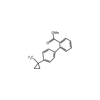 COC(=O)c1ccccc1-c1ccc(C2(C(F)(F)F)CC2)cc1